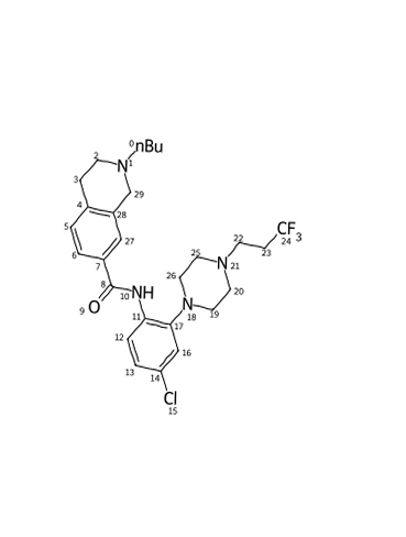 CCCCN1CCc2ccc(C(=O)Nc3ccc(Cl)cc3N3CCN(CCC(F)(F)F)CC3)cc2C1